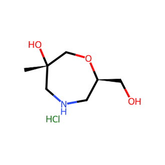 C[C@]1(O)CNC[C@H](CO)OC1.Cl